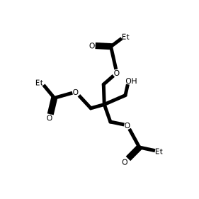 CCC(=O)OCC(CO)(COC(=O)CC)COC(=O)CC